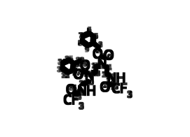 O=C(OCc1ccccc1)N(CCNC(=O)C(F)(F)F)CCN(CCNC(=O)C(F)(F)F)C(=O)OCc1ccccc1